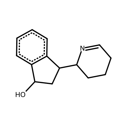 OC1CC(C2CCCC=N2)c2ccccc21